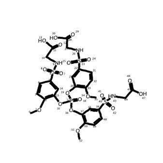 COc1ccc(S(=O)(=O)NCC(=O)O)cc1OP(=O)(Oc1cc(S(=O)(=O)NCC(=O)O)ccc1OC)Oc1cc(S(=O)(=O)NCC(=O)O)ccc1OC